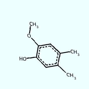 COc1cc(C)c(C)cc1O